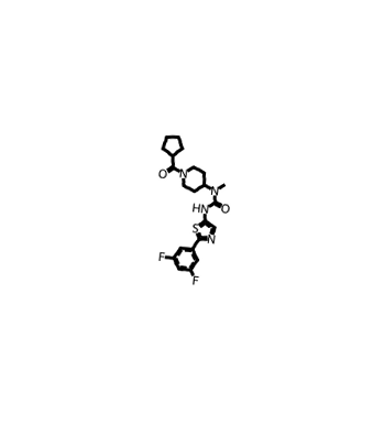 CN(C(=O)Nc1cnc(-c2cc(F)cc(F)c2)s1)C1CCN(C(=O)C2CCCC2)CC1